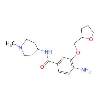 CN1CCC(NC(=O)c2ccc(N)c(OCC3CCCO3)c2)CC1